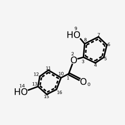 O=C(Oc1ccccc1O)c1ccc(O)cc1